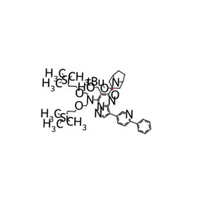 CC(C)(C)OC(=O)N1C2CCC1CC(c1nc3c(-c4ccc(-c5ccccc5)nc4)cnn3c(N(COCC[Si](C)(C)C)COCC[Si](C)(C)C)c1CO)C2